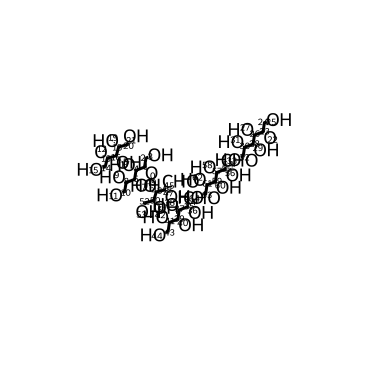 O=C(CO)[C@@H](O)[C@@H](O)[C@H](O)CO.O=C(CO)[C@@H](O)[C@H](O)CO.O=C(CO)[C@@H](O)[C@H](O)[C@H](O)CO.O=C[C@@H](O)[C@@H](O)[C@@H](O)[C@H](O)CO.O=C[C@@H](O)[C@@H](O)[C@H](O)CO.O=C[C@@H](O)[C@@H](O)[C@H](O)[C@H](O)CO